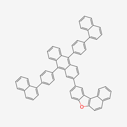 c1ccc2c(-c3ccc(-c4c5ccccc5c(-c5ccc(-c6cccc7ccccc67)cc5)c5cc(-c6ccc7oc8ccc9ccccc9c8c7c6)ccc45)cc3)cccc2c1